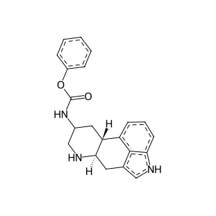 O=C(NC1CN[C@@H]2Cc3c[nH]c4cccc(c34)[C@H]2C1)Oc1ccccc1